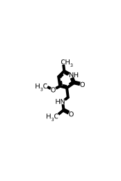 COc1cc(C)[nH]c(=O)c1CNC(C)=O